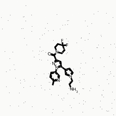 Cc1ccc(-n2nc(C(=O)N3CCC(F)(F)CC3)cc2-c2ccn(CCN)c2)cn1